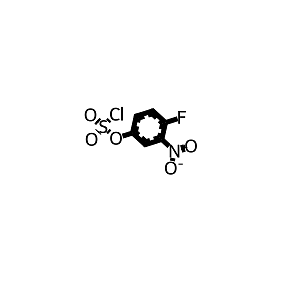 O=[N+]([O-])c1cc(OS(=O)(=O)Cl)ccc1F